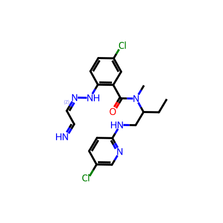 CCC(CNc1ccc(Cl)cn1)N(C)C(=O)c1cc(Cl)ccc1N/N=C\C=N